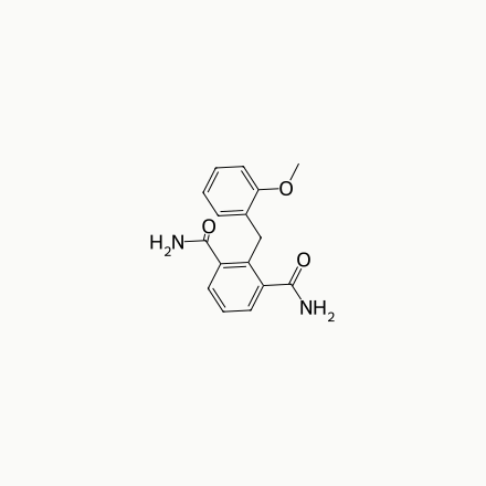 COc1ccccc1Cc1c(C(N)=O)cccc1C(N)=O